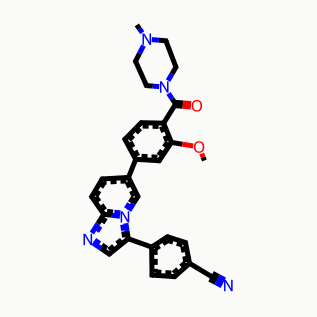 COc1cc(-c2ccc3ncc(-c4ccc(C#N)cc4)n3c2)ccc1C(=O)N1CCN(C)CC1